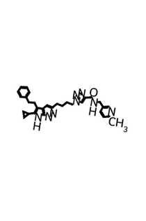 Cc1ccc(CNC(=O)c2cn(CCCCc3cc4c(CCc5ccccc5)c(C5CC5)[nH]c4nn3)nn2)cn1